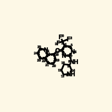 FC(F)(F)c1cnc(NC2CCCNC2)nc1Oc1cccc2cccnc12